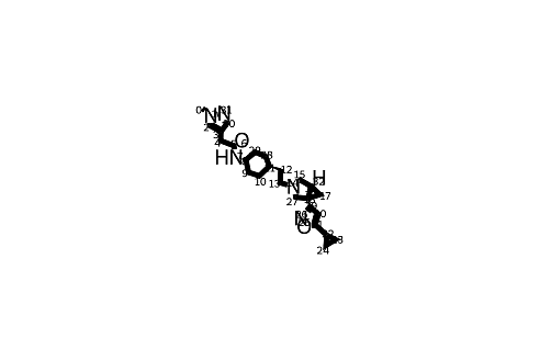 Cn1cc(CC(=O)N[C@H]2CC[C@H](CCN3C[C@@H]4C[C@]4(c4cc(C5CC5)on4)C3)CC2)cn1